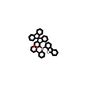 c1ccc(-c2ccccc2N(c2cccc3c2-c2ccccc2C32c3ccccc3-c3ccccc32)c2cccc3c2oc2ccccc23)cc1